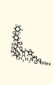 CCCCCCOC(=O)/N=C(\N)c1csc(CNC(=O)[C@@H]2C[C@]3(C)C[C@@H]3N2C(=O)CNC(=O)c2ccc(Oc3ccccc3)cc2)c1